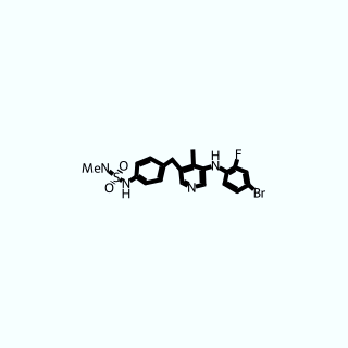 CNS(=O)(=O)Nc1ccc(Cc2cncc(Nc3ccc(Br)cc3F)c2C)cc1